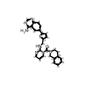 Nc1ncnc2ccc(-c3ccc(CNC4N=CC=CN4C(=O)N4CCc5ccccc5C4)s3)cc12